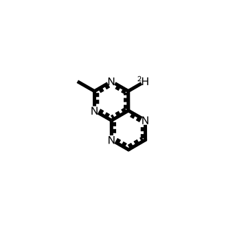 [2H]c1nc(C)nc2nccnc12